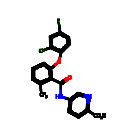 O=C(O)c1ccc(NC(=O)c2c(Oc3ccc(F)cc3Cl)cccc2C(F)(F)F)cn1